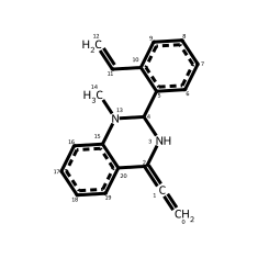 C=C=C1NC(c2ccccc2C=C)N(C)c2ccccc21